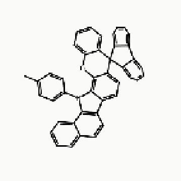 Cc1ccc(-n2c3c4c(ccc3c3ccc5ccccc5c32)C2(c3ccccc3O4)c3ccccc3-c3ccccc32)cc1